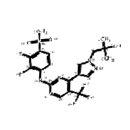 CC(C)(O)Cn1cc(-c2nc(Nc3ccc(S(N)(=O)=O)c(F)c3F)ncc2C(F)(F)F)cn1